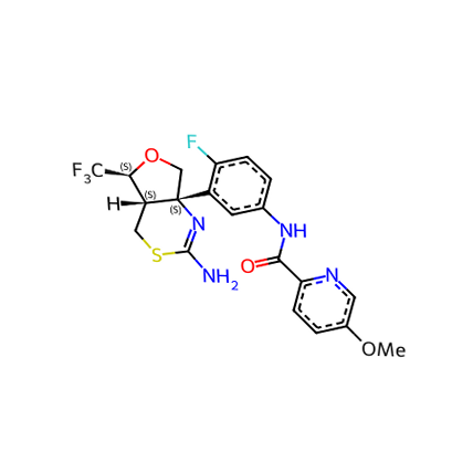 COc1ccc(C(=O)Nc2ccc(F)c([C@]34CO[C@H](C(F)(F)F)[C@H]3CSC(N)=N4)c2)nc1